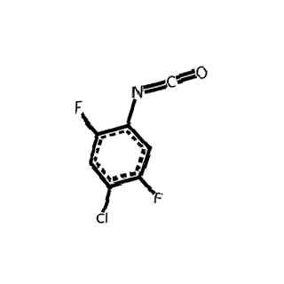 O=C=Nc1cc(F)c(Cl)cc1F